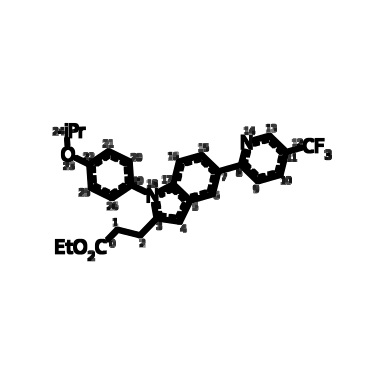 CCOC(=O)CCc1cc2cc(-c3ccc(C(F)(F)F)cn3)ccc2n1-c1ccc(OC(C)C)cc1